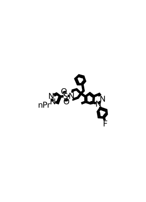 CCCn1cc(S(=O)(=O)N2CCC(Cc3ccccc3)(c3cc4cnn(-c5ccc(F)cc5)c4cc3C)CC2)cn1